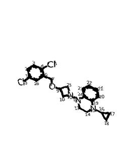 Clc1ccc(Cl)c(CO[C]2CN(N3CCN(C4CC4)c4ccccc43)C2)c1